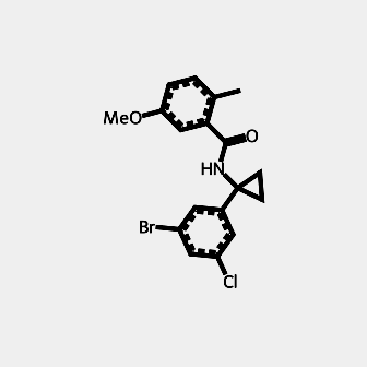 COc1ccc(C)c(C(=O)NC2(c3cc(Cl)cc(Br)c3)CC2)c1